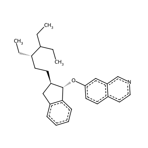 CCC(CC)[C@@H](CC)CC[C@@H]1Cc2ccccc2[C@H]1Oc1ccc2ccncc2c1